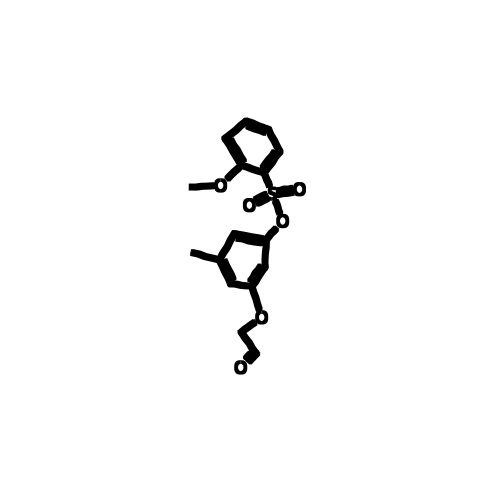 COc1ccccc1S(=O)(=O)Oc1cc(C)cc(OCC=O)c1